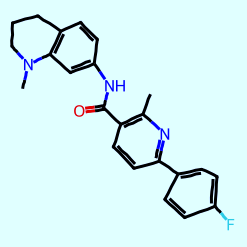 Cc1nc(-c2ccc(F)cc2)ccc1C(=O)Nc1ccc2c(c1)N(C)CCC2